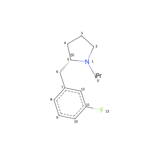 CC(C)N1CCC[C@H]1Cc1cccc(F)c1